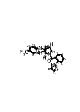 O=C(c1ccccc1-n1nccn1)N1C[C@@H]2CC[C@H]1[C@H](Nc1ccc(C(F)(F)F)cn1)C2